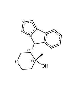 C[C@@]1(O)CCOC[C@@H]1C1c2ccccc2-c2cncn21